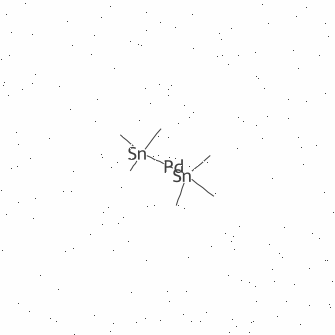 [CH3][Sn]([CH3])([CH3])[Pd][Sn]([CH3])([CH3])[CH3]